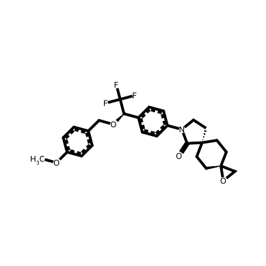 COc1ccc(CO[C@H](c2ccc(N3CC[C@]4(CC[C@@]5(CC4)CO5)C3=O)cc2)C(F)(F)F)cc1